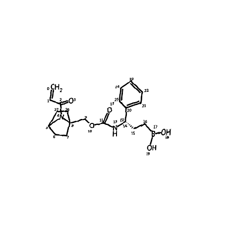 C=CC(=O)N1C2CCC1(COC(=O)N[C@@H](CCB(O)O)c1ccccc1)CC2